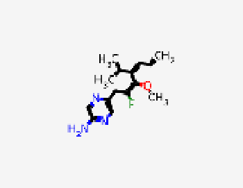 C=C/C=C(\C(OC)=C(\F)Cc1cnc(N)cn1)C(C)C